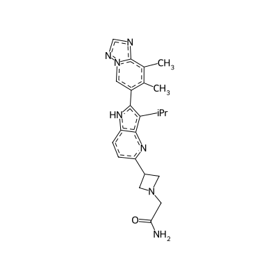 Cc1c(-c2[nH]c3ccc(C4CN(CC(N)=O)C4)nc3c2C(C)C)cn2ncnc2c1C